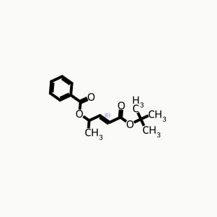 CC(/C=C/C(=O)OC(C)(C)C)OC(=O)c1ccccc1